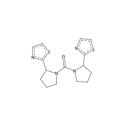 O=C(N1CCCC1c1nccs1)N1CCCC1c1nccs1